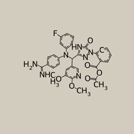 COc1cc(C(c2nn(-c3ccccc3C(=O)OC(C)=O)c(=O)[nH]2)N(c2ccc(C(=N)N)cc2)c2cccc(F)c2)cnc1OC